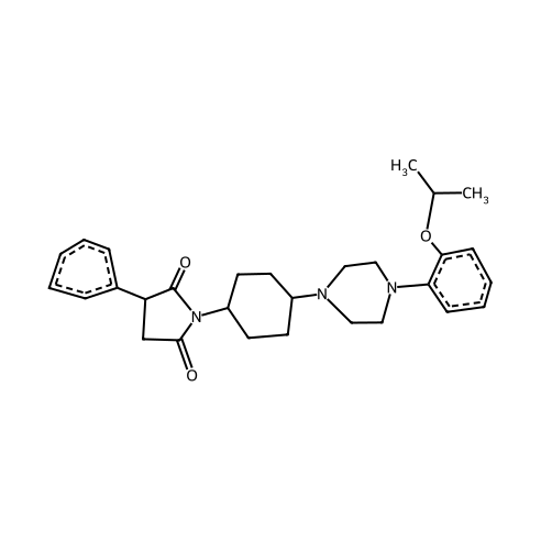 CC(C)Oc1ccccc1N1CCN(C2CCC(N3C(=O)CC(c4ccccc4)C3=O)CC2)CC1